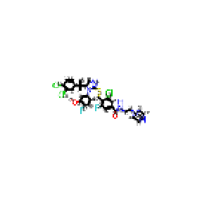 COc1cc(-n2c(C(C)(C)c3ccc(Cl)c(Cl)c3)cnc2SCc2c(F)cc(C(=O)NCC[N+]34CCN(CC3)CC4)cc2Cl)ccc1F